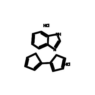 C1=CCC(C2=CC=CC2)=C1.Cl.Cl.c1ccc2[nH]cnc2c1